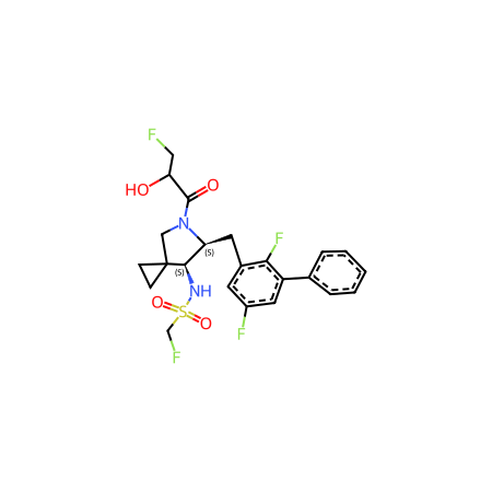 O=C(C(O)CF)N1CC2(CC2)[C@H](NS(=O)(=O)CF)[C@@H]1Cc1cc(F)cc(-c2ccccc2)c1F